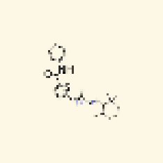 CC1=C(/C=C/C(C)=C/c2ccc(C(=O)Nc3ccccc3)s2)C(C)(C)CCC1